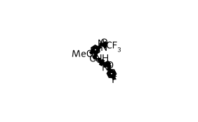 COc1ccc(-c2noc(C(F)(F)F)n2)cc1C(=O)NCC(C)(C)c1coc(-c2ccc(F)cc2)n1